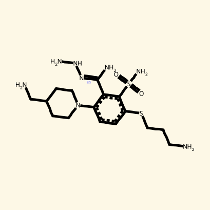 NCCCSc1ccc(N2CCC(CN)CC2)c(/C(N)=N/NN)c1S(N)(=O)=O